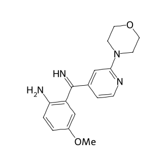 COc1ccc(N)c(C(=N)c2ccnc(N3CCOCC3)c2)c1